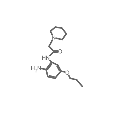 CCCOc1ccc(N)c(NC(=O)CN2CCCCC2)c1